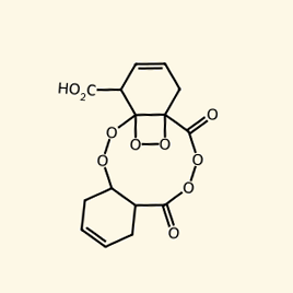 O=C1OOC(=O)C23CC=CC(C(=O)O)C2(OOC2CC=CCC12)OO3